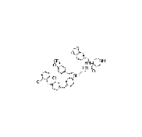 O=C(NCCCn1cc(-c2ccc(OC(F)(F)F)cc2)c2cc(CN3CCN(Cc4c(Cl)cccc4Cl)CC3)ccc21)C1(NCc2ccc3c(c2)OCO3)CCNCC1